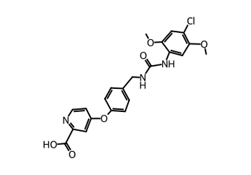 COc1cc(NC(=O)NCc2ccc(Oc3ccnc(C(=O)O)c3)cc2)c(OC)cc1Cl